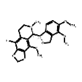 COc1ccc2c(c1OC)CO[C@@H]2[C@H]1c2c(c(Br)c3c(c2OC)OCO3)CCN1C